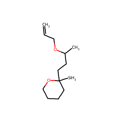 C=CCOC(C)CCC1([SiH3])CCCCO1